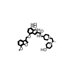 COc1cccc2c(COc3cccc4[nH]c(C(=O)NC5CCN(C[C@H](C)N6CCC(O)CC6)CC5)cc34)coc12.Cl.Cl